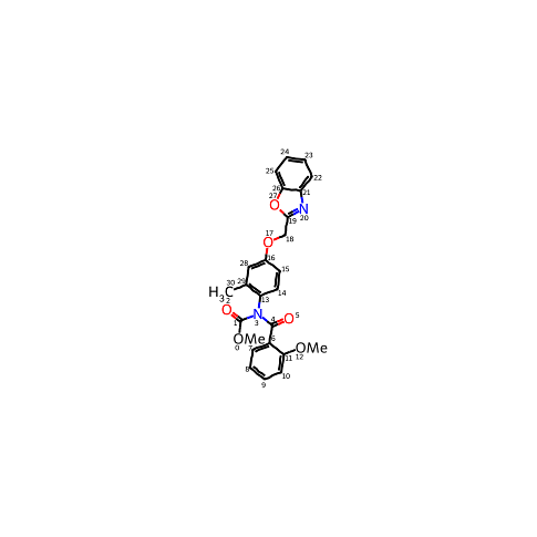 COC(=O)N(C(=O)c1ccccc1OC)c1ccc(OCc2nc3ccccc3o2)cc1C